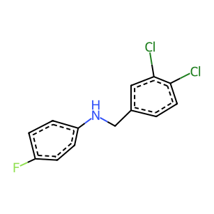 Fc1ccc(NCc2ccc(Cl)c(Cl)c2)cc1